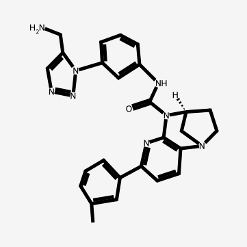 Cc1cccc(-c2ccc3c(n2)N(C(=O)Nc2cccc(-n4nncc4CN)c2)[C@H]2CCN3C2)c1